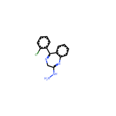 NNC1=Nc2ccccc2C(c2ccccc2Cl)=NC1